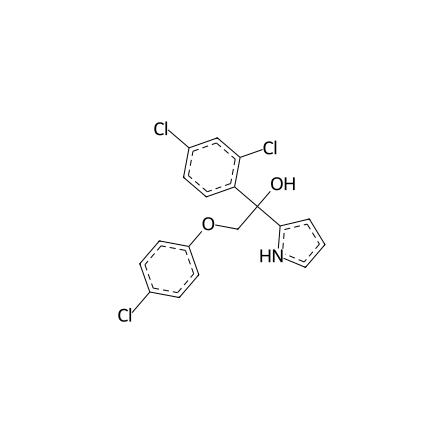 OC(COc1ccc(Cl)cc1)(c1ccc[nH]1)c1ccc(Cl)cc1Cl